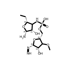 CC[C@H]1O[C@@H](N)[C@@H](O)C1NP(=O)(O)OC[C@H]1O[C@@H](N=N)[C@@H](O)C1OC